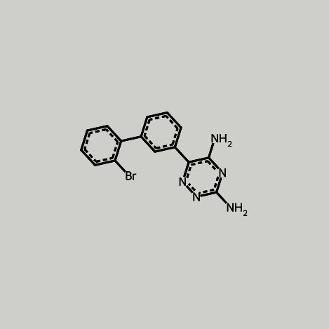 Nc1nnc(-c2cccc(-c3ccccc3Br)c2)c(N)n1